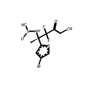 C[C@](N[S+]([O-])C#N)(c1cc(Br)cs1)C(F)(F)C(=O)CC#N